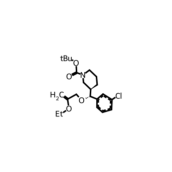 C=C(CO[C@@H](c1cccc(Cl)c1)[C@@H]1CCCN(C(=O)OC(C)(C)C)C1)OCC